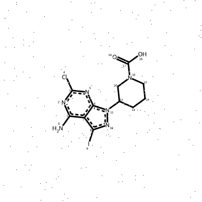 Nc1nc(Cl)nc2c1c(I)nn2C1CCCN(C(=O)O)C1